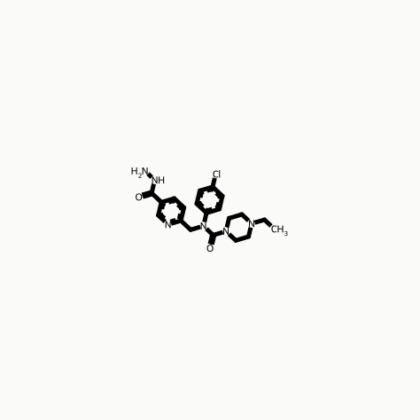 CCN1CCN(C(=O)N(Cc2ccc(C(=O)NN)cn2)c2ccc(Cl)cc2)CC1